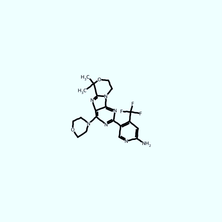 CC1(C)OCCn2c1nc1c(N3CCOCC3)nc(-c3cnc(N)cc3C(F)(F)F)nc12